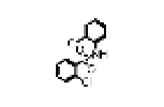 O=S(=O)(Nc1ccccc1Cl)c1ccccc1Cl